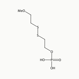 COCCSSCCOP(=O)(O)O